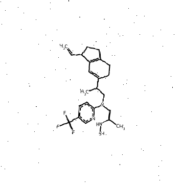 C=CC1CCC2=C1C=C(C(C)CN(CC(C)NS)c1ccc(C(F)(F)F)cn1)CC2